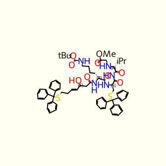 COC(=O)CN[C@@H](C(=O)NC(=O)[C@@H](CSC(c1ccccc1)(c1ccccc1)c1ccccc1)NC(=O)[C@@H](CCCCNC(=O)OC(C)(C)C)NC(=O)C[C@H](O)C=CCCSC(c1ccccc1)(c1ccccc1)c1ccccc1)C(C)C